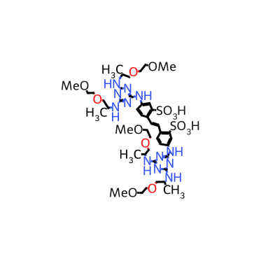 COCCOCC(C)Nc1nc(Nc2ccc(/C=C/c3ccc(Nc4nc(NC(C)COCCOC)nc(NC(C)COCCOC)n4)cc3S(=O)(=O)O)c(S(=O)(=O)O)c2)nc(NC(C)COCCOC)n1